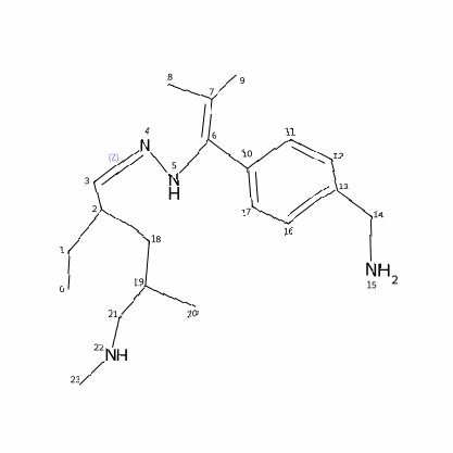 CCC(/C=N\NC(=C(C)C)c1ccc(CN)cc1)CC(C)CNC